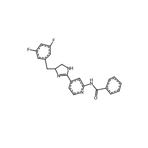 O=C(Nc1cc(C2=NC(Cc3cc(F)cc(F)c3)CN2)ccn1)c1ccccc1